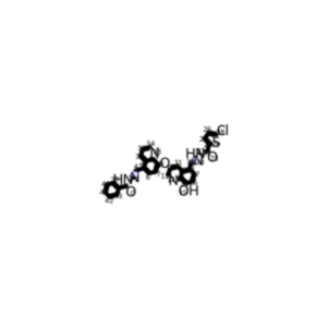 O=C(N/N=C/c1ccc(Oc2cnc3c(O)ccc(/C=N/NC(=O)c4ccc(Cl)s4)c3c2)c2ncccc12)c1ccccc1